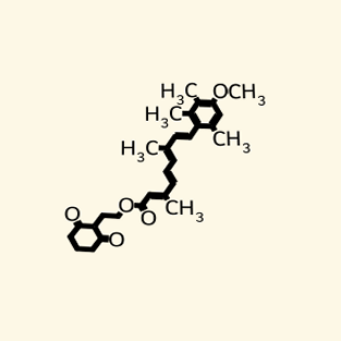 COc1cc(C)c(C=CC(C)=CC=CC(C)=CC(=O)OCCC2C(=O)CCCC2=O)c(C)c1C